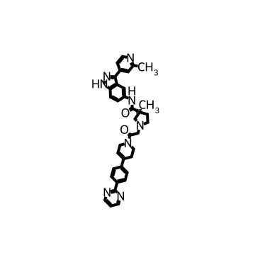 Cc1cc(-c2n[nH]c3ccc(NC(=O)[C@]4(C)CCN(CC(=O)N5CC=C(c6ccc(-c7ncccn7)cc6)CC5)C4)cc23)ccn1